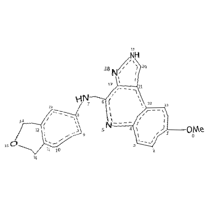 COc1ccc2nc(Nc3ccc4c(c3)COC4)c3n[nH]cc3c2c1